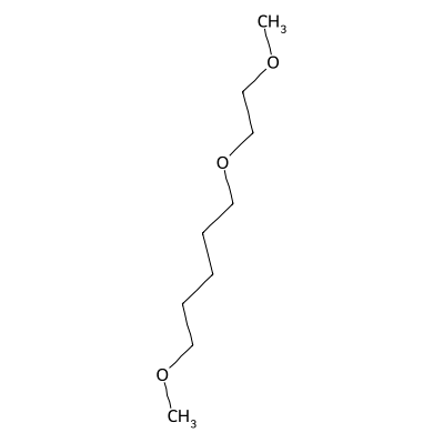 COCCCCCOCCOC